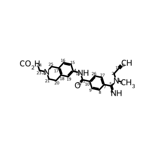 C#CCN(C)C(=N)c1ccc(C(=O)Nc2ccc3c(c2)CCN(CC(=O)O)C3)cc1